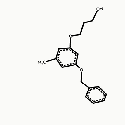 Cc1cc(OCCCO)cc(OCc2ccccc2)c1